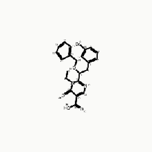 CCn1c(C(Cc2cccc(Br)c2)OCc2ccccc2)ncc(C(=O)O)c1=O